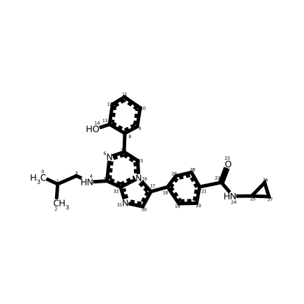 CC(C)CNc1nc(-c2ccccc2O)cn2c(-c3ccc(C(=O)NC4CC4)cc3)cnc12